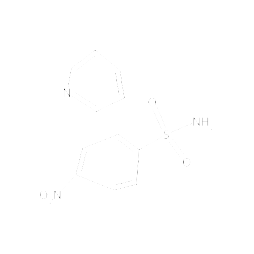 NS(=O)(=O)c1ccc([N+](=O)[O-])cc1.c1ccncc1